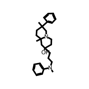 CN(CCCC1(O)CCN2CC(C)(c3ccccc3)CCC2(C)C1)c1ccccc1